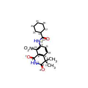 CC1(C)C(=O)NC(=O)c2c1ccc(NC(=O)C1CCCCC1)c2[N+](=O)[O-]